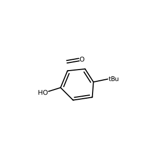 C=O.CC(C)(C)c1ccc(O)cc1